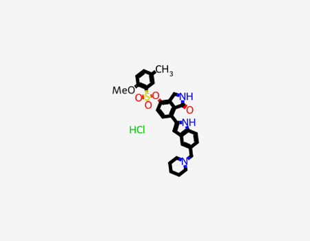 COc1ccc(C)cc1S(=O)(=O)Oc1ccc(-c2cc3cc(CN4CCCCC4)ccc3[nH]2)c2c1CNC2=O.Cl